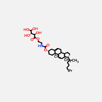 CC(C)CCC[C@H](C)[C@H]1CCC2C3CC=C4C[C@@H](OC(=O)NCCOC(=O)C(O)[C@H](O)C(O)O)CC[C@]4(C)C3CC[C@@]21C